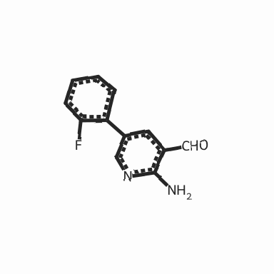 Nc1ncc(-c2ccccc2F)cc1C=O